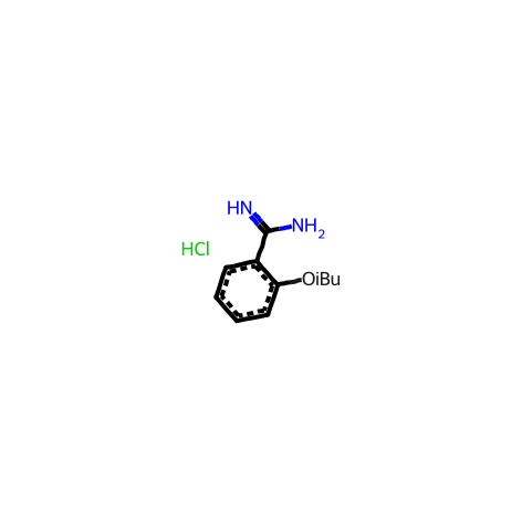 CC(C)COc1ccccc1C(=N)N.Cl